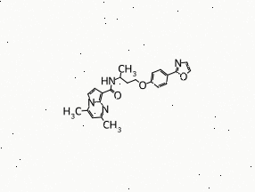 Cc1cc(C)n2ccc(C(=O)NC(C)CCOc3ccc(-c4ncco4)cc3)c2n1